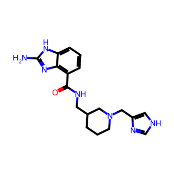 Nc1nc2c(C(=O)NCC3CCCN(Cc4c[nH]cn4)C3)cccc2[nH]1